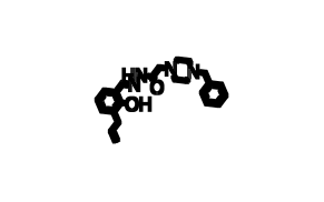 C=CCc1cccc(C=NNC(=O)CN2CCN(Cc3ccccc3)CC2)c1O